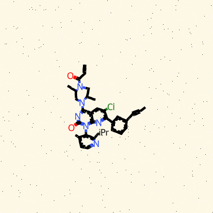 C=CC(=O)N1CC(C)N(c2nc(=O)n(-c3c(C)ccnc3C(C)C)c3nc(-c4cccc(C#CC)c4)c(Cl)cc23)CC1C